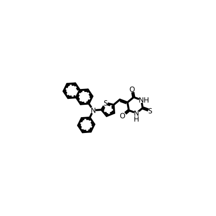 O=C1NC(=S)NC(=O)C1=Cc1ccc(N(c2ccccc2)c2ccc3ccccc3c2)s1